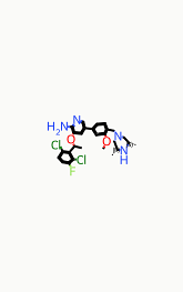 COc1cc(-c2cnc(N)c(OC(C)c3c(Cl)ccc(F)c3Cl)c2)ccc1CN1C[C@@H](C)N[C@@H](C)C1